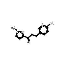 Cn1ccc(C(=O)CCc2ccc(C(F)(F)F)nc2)n1